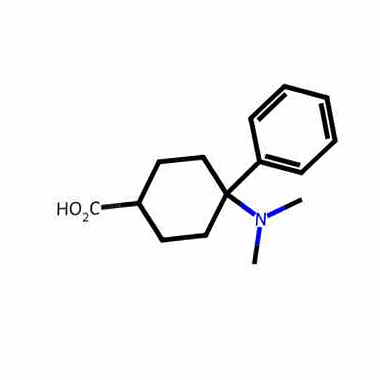 CN(C)C1(c2ccccc2)CCC(C(=O)O)CC1